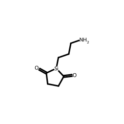 NCCC[Si]1C(=O)CCC1=O